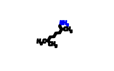 CC(C)CCCCC(C)CN